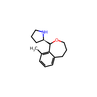 Cc1cccc2c1C([C@H]1CCCN1)OCCC2